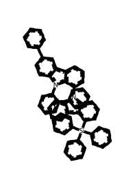 c1ccc(-c2ccc3c(c2)c2cccc(-n4c5ccccc5c5c([Si](c6ccccc6)(c6ccccc6)c6ccccc6)cccc54)c2n3-c2ccccc2-c2ccccc2)cc1